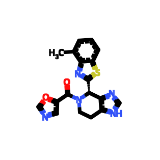 Cc1cccc2sc([C@@H]3c4nc[nH]c4CCN3C(=O)c3cnco3)nc12